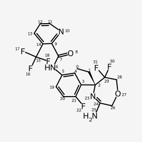 CC[C@]1(c2cc(NC(=O)c3ncccc3C(F)(F)F)ccc2F)N=C(N)COCC1(F)F